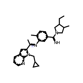 CCC1CN(C(=N)c2ccc(C)c(/N=C(\C)c3cc4cccnc4n3CC3CC3)c2)CC1C